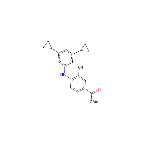 COC(=O)c1ccc(Nc2cc(C3CC3)cc(C3CC3)c2)c(C#N)c1